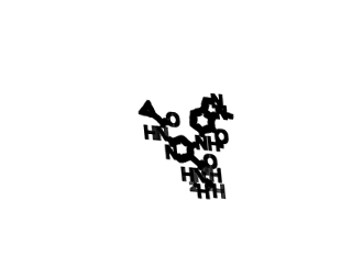 [2H]C([2H])([2H])NC(=O)c1cnc(NC(=O)C2CC2)cc1Nc1ccc2cnn(C)c2c1OC